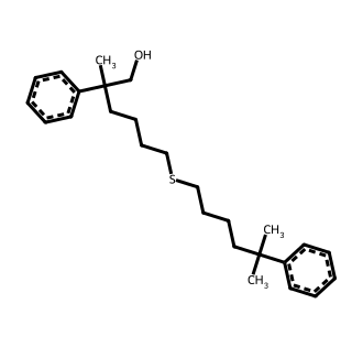 CC(C)(CCCCSCCCCC(C)(CO)c1ccccc1)c1ccccc1